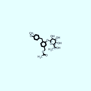 COc1ccc(Cc2ccc(COC(C)=O)cc2O[C@@H]2O[C@H]([C@@H](C)O)[C@@H](O)[C@H](O)[C@H]2O)cc1